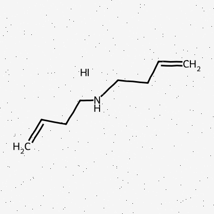 C=CCCNCCC=C.I